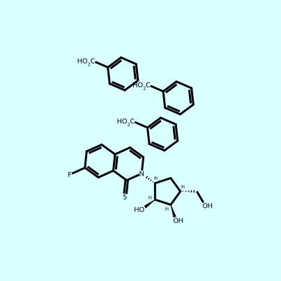 O=C(O)c1ccccc1.O=C(O)c1ccccc1.O=C(O)c1ccccc1.OC[C@H]1C[C@@H](n2ccc3ccc(F)cc3c2=S)[C@H](O)[C@@H]1O